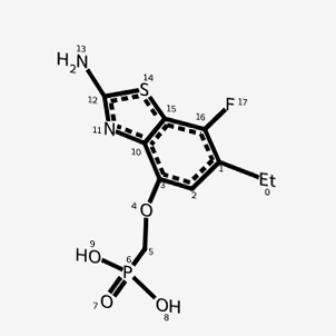 CCc1cc(OCP(=O)(O)O)c2nc(N)sc2c1F